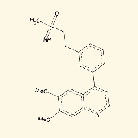 COc1cc2nccc(-c3cccc(CCS(C)(=N)=O)c3)c2cc1OC